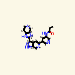 CCC(=O)Nc1cncc(-c2cc3c(-c4nc5cnccc5[nH]4)n[nH]c3cn2)c1